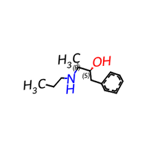 CCCN[C@H](C)[C@@H](O)Cc1ccccc1